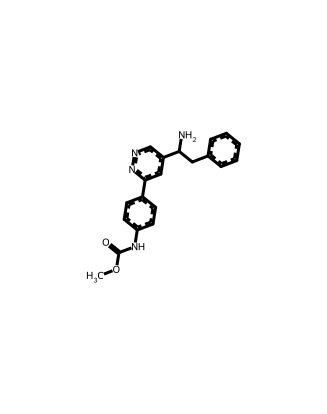 COC(=O)Nc1ccc(-c2cc(C(N)Cc3ccccc3)cnn2)cc1